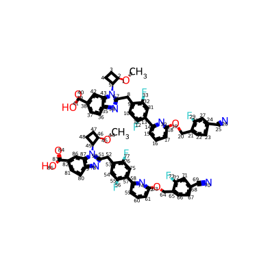 CO[C@@H]1CC[C@@H]1n1c(Cc2cc(F)c(-c3cccc(OCc4ccc(C#N)cc4F)n3)cc2F)nc2ccc(C(=O)O)cc21.CO[C@@H]1CC[C@@H]1n1c(Cc2cc(F)c(-c3cccc(OCc4ccc(C#N)cc4F)n3)cc2F)nc2ccc(C(=O)O)cc21